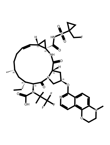 CC[C@@H]1C[C@H](C)CCC=C[C@@H]2C[C@@]2(C(=O)NS(=O)(=O)C2(CF)CC2)NC(=O)[C@@H]2C[C@@H](Oc3nccc4c5c(ccc34)N(C)CCO5)CN2C(=O)[C@H]1N(C(=O)O)C(C)(C)C(F)(F)F